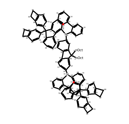 CCCCCCCCC1(CCCCCCCC)c2cc(N(c3ccccc3-c3ccccc3)c3cccc4c3-c3ccccc3C4(c3ccc4c(c3)CC4)c3ccc4c(c3)CC4)ccc2-c2ccc(N(c3ccccc3-c3ccccc3)c3cccc4c3-c3ccccc3C4(c3ccc4c(c3)CC4)c3ccc4c(c3)CC4)cc21